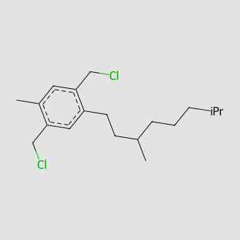 Cc1cc(CCl)c(CCC(C)CCCC(C)C)cc1CCl